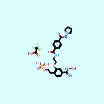 N=C(NO)c1ccc(CCOP(=O)(O)O)c(OCCNC(=O)c2ccc(C(=O)NN3CCCC3)cc2)c1.O=C(O)C(F)(F)F